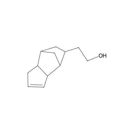 OCCC1CC2CC1C1C=CCC21